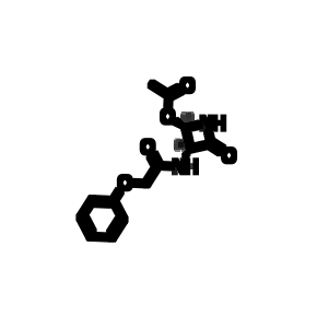 CC(=O)O[C@H]1NC(=O)[C@@H]1NC(=O)COc1ccccc1